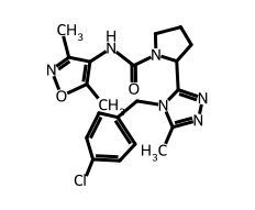 Cc1noc(C)c1NC(=O)N1CCCC1c1nnc(C)n1Cc1ccc(Cl)cc1